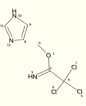 COC(=N)C(Cl)(Cl)Cl.c1c[nH]cn1